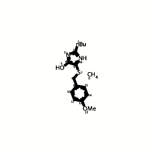 C.CCCCc1nc(O)c(SCc2ccc(OC)cc2)[nH]1